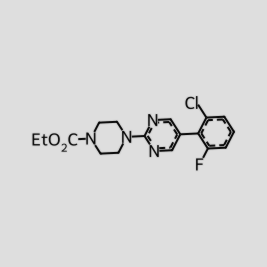 CCOC(=O)N1CCN(c2ncc(-c3c(F)cccc3Cl)cn2)CC1